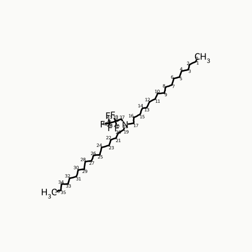 CCCCCCCCCCCCCCCCCCN(CCCCCCCCCCCCCCCCCC)CC(F)(F)C(F)(F)F